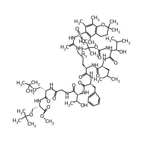 C=C(NCCC[C@@H](NC(=O)[C@H](CC(C)C)NC(=O)[C@@H](NC(=O)OC(C)(C)C)[C@H](O)C(C)C)C(=O)N[C@@H](Cc1ccccc1)C(=O)N[C@H](C(=O)NCC(=O)N[C@@H](COC(C)(C)C)C(=O)N[C@@H](COC(C)(C)C)C(=O)OC)[C@H](C)O)NS(=O)(=O)c1c(C)c(C)c2c(c1C)CCC(C)(C)O2